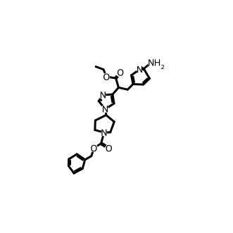 CCOC(=O)C(Cc1ccc(N)nc1)c1cn(C2CCN(C(=O)OCc3ccccc3)CC2)cn1